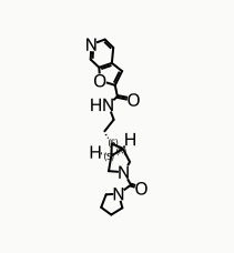 O=C(NCC[C@@H]1[C@H]2CN(C(=O)N3CCCC3)C[C@@H]12)c1cc2ccncc2o1